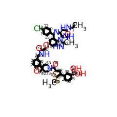 CCNC(=O)C[C@@H]1N=C(c2ccc(Cl)cc2)c2cc(OCC(=O)NCc3ccc4c(c3)C3(CCN(C(=O)c5cc(-c6cccc(B(O)O)c6)c(SC)s5)CC3)CO4)ccc2N(C(C)=N)C1=N